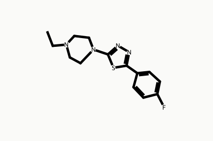 CCN1CCN(c2nnc(-c3ccc(F)cc3)s2)CC1